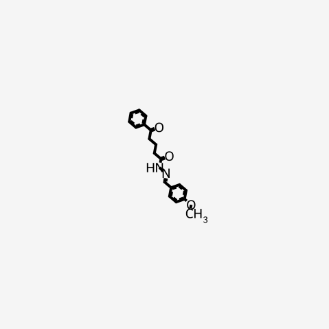 COc1ccc(C=NNC(=O)CCCC(=O)c2ccccc2)cc1